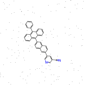 N#Cc1cncc(-c2ccc3cc(-c4c5ccccc5c(-c5ccccc5)c5ccccc45)ccc3c2)c1